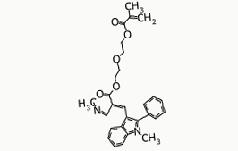 C=C(C)C(=O)OCCOCCOC(=O)C(/C=N\C)=C/c1c(-c2ccccc2)n(C)c2ccccc12